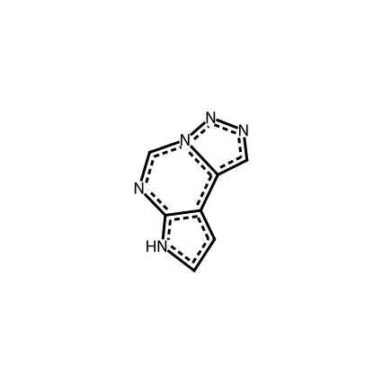 c1cc2c(ncn3nncc23)[nH]1